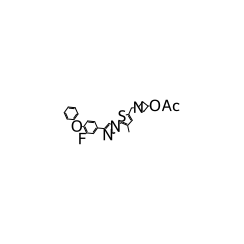 CC(=O)OC1CN(Cc2cc(C)c(-n3cnc(-c4ccc(Oc5ccccc5)c(F)c4)c3)s2)C1